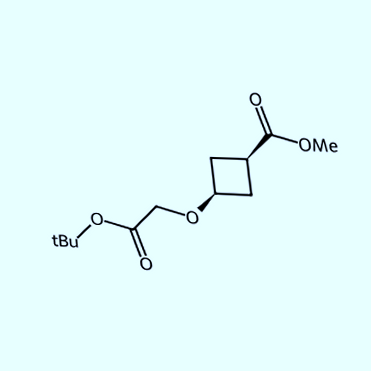 COC(=O)[C@H]1C[C@@H](OCC(=O)OC(C)(C)C)C1